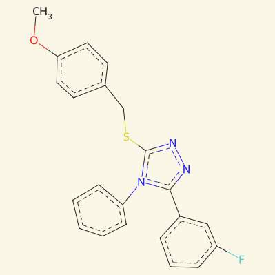 COc1ccc(CSc2nnc(-c3cccc(F)c3)n2-c2ccccc2)cc1